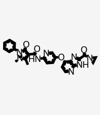 Cc1c(C(=O)Nc2ccc(Oc3ccnc4[nH]c(C(=O)N5CC5)nc34)cn2)c(=O)n(-c2ccccc2)n1C